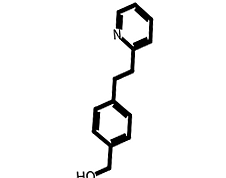 OCc1ccc(CCc2ccccn2)cc1